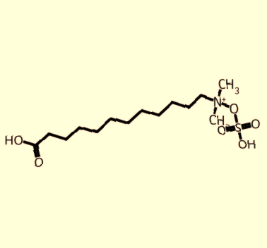 C[N+](C)(CCCCCCCCCCCC(=O)O)OS(=O)(=O)O